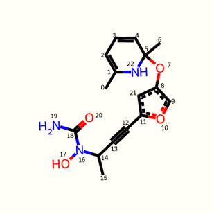 CC1=CC=CC(C)(Oc2coc(C#CC(C)N(O)C(N)=O)c2)N1